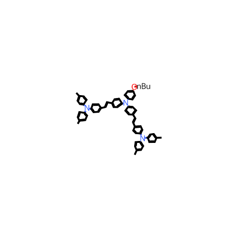 CCCCOc1ccc(N(c2ccc(/C=C/c3ccc(N(c4ccc(C)cc4)c4ccc(C)cc4)cc3)cc2)c2ccc(/C=C/c3ccc(N(c4ccc(C)cc4)c4ccc(C)cc4)cc3)cc2)cc1